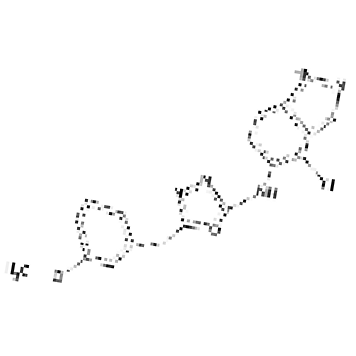 COc1cccc(Cc2nnc(Nc3ccc4[nH]ncc4c3Cl)o2)c1